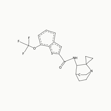 O=C(NC1C2CCN(CC2)C12CC2)c1cc2cccc(OC(F)(F)F)c2s1